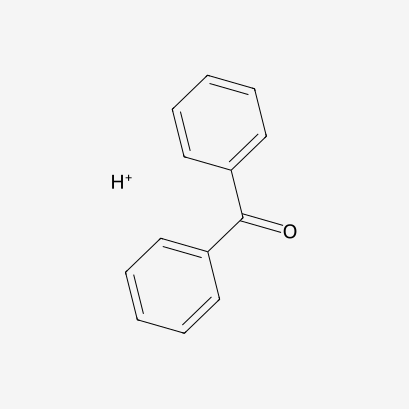 O=C(c1ccccc1)c1ccccc1.[H+]